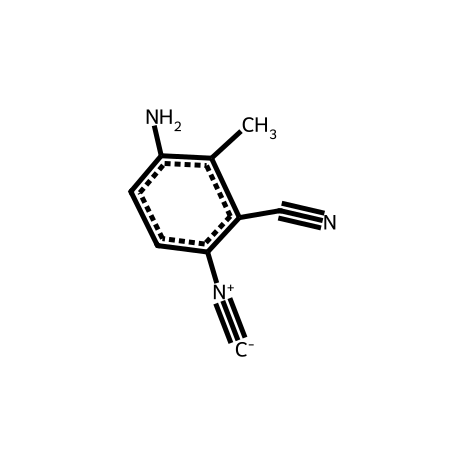 [C-]#[N+]c1ccc(N)c(C)c1C#N